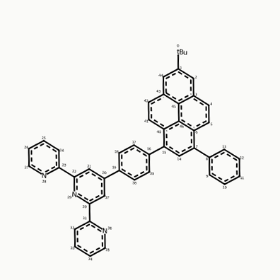 CC(C)(C)c1cc2ccc3c(-c4ccccc4)cc(-c4ccc(-c5cc(-c6ccccn6)nc(-c6ccccn6)c5)cc4)c4ccc(c1)c2c34